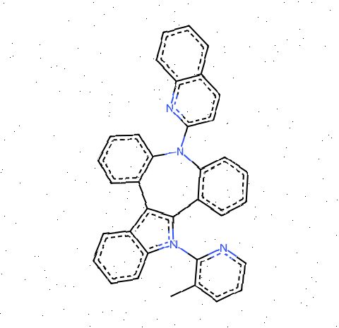 Cc1cccnc1-n1c2c(c3ccccc31)-c1ccccc1N(c1ccc3ccccc3n1)c1ccccc1-2